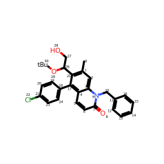 Cc1cc2c(ccc(=O)n2Cc2ccccc2)c(-c2ccc(Cl)cc2)c1C(CO)OC(C)(C)C